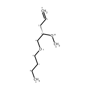 C=CC[C@@H](COCCCC)OC